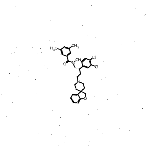 Cc1cc(C)cc(C(=O)N(C)C[C@@H](CCN2CCC3(CC2)COc2ccccc23)c2ccc(Cl)c(Cl)c2)c1